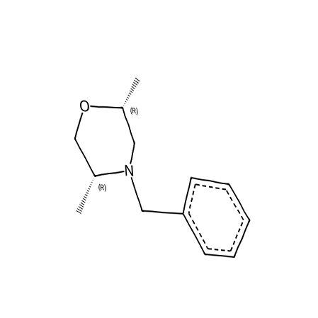 C[C@@H]1CN(Cc2ccccc2)[C@H](C)CO1